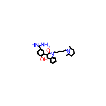 CC1CCCC(C)N1CCCCCn1c(=O)c(-c2cc(C(=N)N)ccc2O)cc2ccccc21